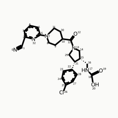 N#Cc1cccc(N2CCC(C(=O)N3C[C@H](CNC(=O)O)[C@H](c4ccc(Cl)cc4)C3)CC2)n1